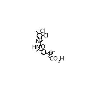 Cc1cc2c(cc(C(=O)NC(C)c3ccc([S+]([O-])CC(=O)O)cc3)n2C)c(Cl)c1Cl